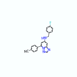 N#Cc1ccc(-c2cc(NCc3ccc(F)cc3)cc3ncnn23)cc1